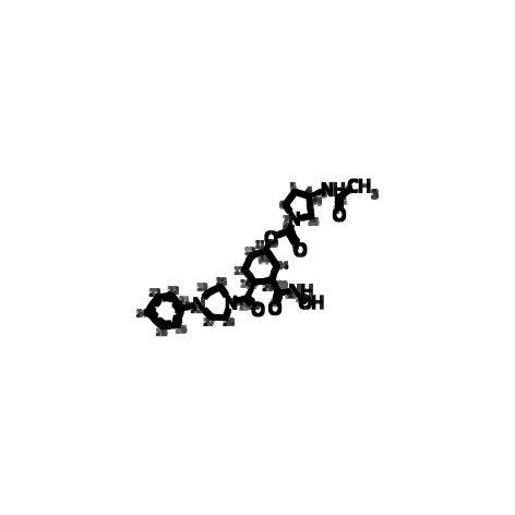 CC(=O)N[C@@H]1CCN(C(=O)O[C@@H]2CC[C@H](C(=O)N3CCN(c4ccccc4)CC3)C(C(=O)NO)C2)C1